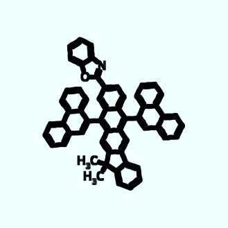 CC1(C)c2ccccc2-c2cc3c(-c4cc5ccccc5c5ccccc45)c4ccc(-c5nc6ccccc6o5)cc4c(-c4cc5ccccc5c5ccccc45)c3cc21